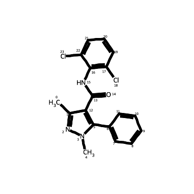 Cc1nn(C)c(-c2ccccc2)c1C(=O)Nc1c(Cl)cccc1Cl